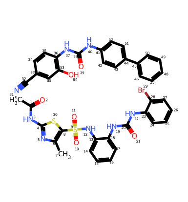 CC(=O)Nc1nc(C)c(S(=O)(=O)Nc2ccccc2NC(=O)Nc2ccccc2Br)s1.N#Cc1ccc(NC(=O)Nc2ccc(-c3ccccc3)cc2)c(O)c1